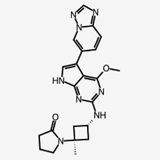 COc1nc(N[C@H]2C[C@](C)(N3CCCC3=O)C2)nc2[nH]cc(-c3ccc4ncnn4c3)c12